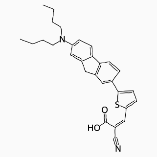 CCCCN(CCCC)c1ccc2c(c1)Cc1cc(-c3ccc(C=C(C#N)C(=O)O)s3)ccc1-2